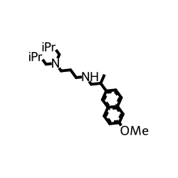 COc1ccc2cc(C(C)CNCCCN(CC(C)C)CC(C)C)ccc2c1